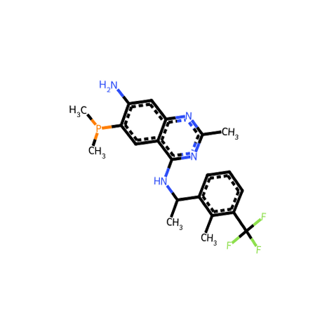 Cc1nc(NC(C)c2cccc(C(F)(F)F)c2C)c2cc(P(C)C)c(N)cc2n1